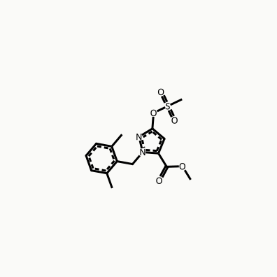 COC(=O)c1cc(OS(C)(=O)=O)nn1Cc1c(C)cccc1C